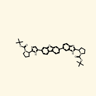 CC(C)(C)OC(=O)N1CCCC1c1ncc(-c2ccc3c(c2)oc2cc(-c4ccc5nc(C6CCCN6C(=O)OC(C)(C)C)[nH]c5c4)ccc23)[nH]1